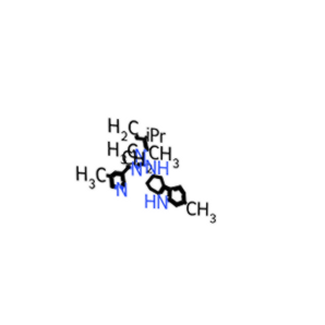 C=C/C(=C(/C)N(C)/C(=N\C(=C)c1cncc(C)c1)NC1CCc2[nH]c3cc(C)ccc3c2C1)C(C)C